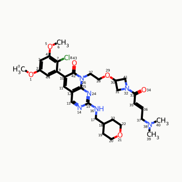 COc1cc(OC)c(Cl)c(-c2cc3cnc(NCC4CCOCC4)nc3n(CCOC3CN(C(=O)C=CCN(C)C)C3)c2=O)c1